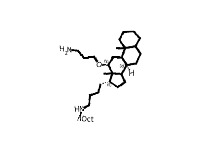 CCCCCCCCNCCCC[C@H]1CCC2[C@@H]3CCC4CCCCC4(C)C3C[C@H](OCCCN)C21C